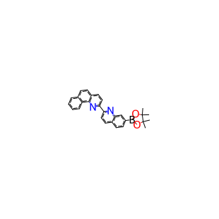 CC1(C)OB(c2ccc3ccc(-c4ccc5ccc6ccccc6c5n4)nc3c2)OC1(C)C